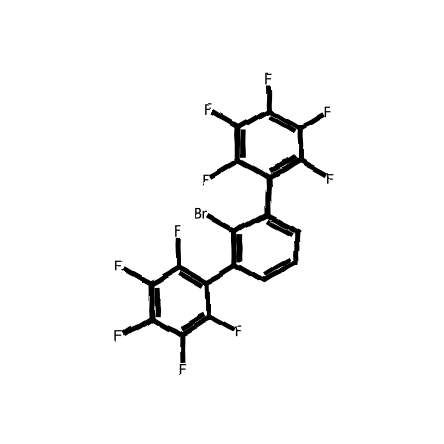 Fc1c(F)c(F)c(-c2cccc(-c3c(F)c(F)c(F)c(F)c3F)c2Br)c(F)c1F